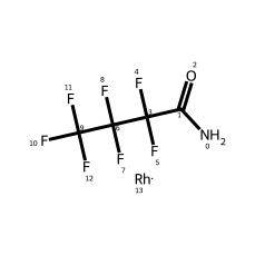 NC(=O)C(F)(F)C(F)(F)C(F)(F)F.[Rh]